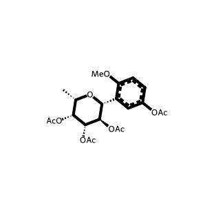 COc1ccc(OC(C)=O)cc1[C@H]1O[C@@H](C)[C@@H](OC(C)=O)[C@@H](OC(C)=O)[C@@H]1OC(C)=O